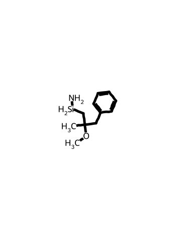 COC(C)(C[SiH2]N)Cc1ccccc1